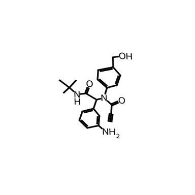 C#CC(=O)N(c1ccc(CO)cc1)C(C(=O)NC(C)(C)C)c1cccc(N)c1